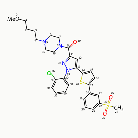 COCCCCN1CCN(C(=O)c2cc(-c3ccc(-c4cccc(S(C)(=O)=O)c4)s3)n(-c3ccccc3Cl)n2)CC1